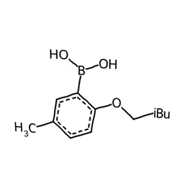 CCC(C)COc1ccc(C)cc1B(O)O